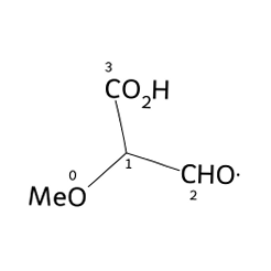 COC([C]=O)C(=O)O